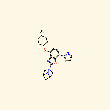 CC1CCC(Oc2ccc(-c3nccs3)c3oc(N4CC5CC(C4)N5)nc23)CC1